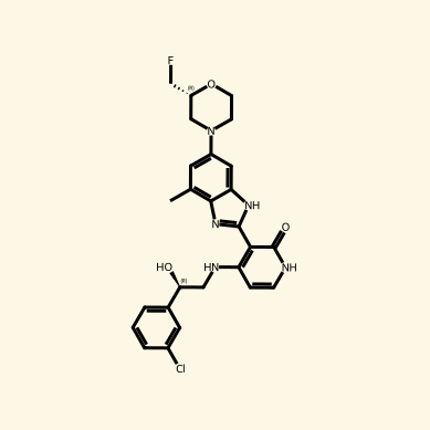 Cc1cc(N2CCO[C@@H](CF)C2)cc2[nH]c(-c3c(NC[C@H](O)c4cccc(Cl)c4)cc[nH]c3=O)nc12